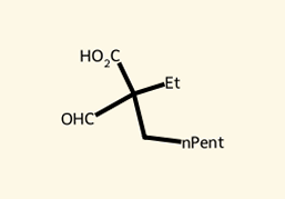 CCCCCCC(C=O)(CC)C(=O)O